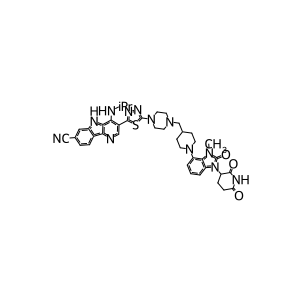 CC(C)Nc1c(-c2nnc(N3CCN(CC4CCN(c5cccc6c5n(C)c(=O)n6C5CCC(=O)NC5=O)CC4)CC3)s2)cnc2c1[nH]c1cc(C#N)ccc12